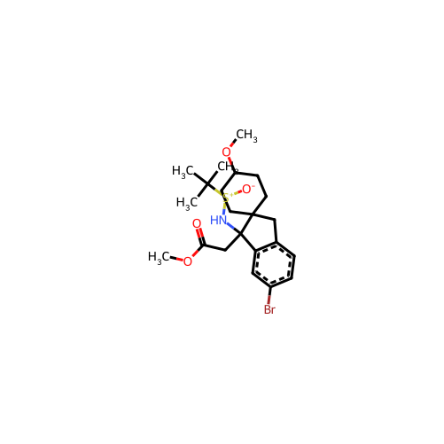 COC(=O)CC1(N[S+]([O-])C(C)(C)C)c2cc(Br)ccc2CC12CCC(OC)CC2